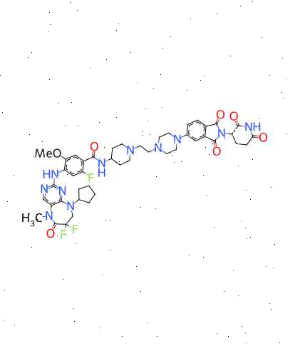 COc1cc(C(=O)NC2CCN(CCN3CCN(c4ccc5c(c4)C(=O)N(C4CCC(=O)NC4=O)C5=O)CC3)CC2)c(F)cc1Nc1ncc2c(n1)N(C1CCCC1)CC(F)(F)C(=O)N2C